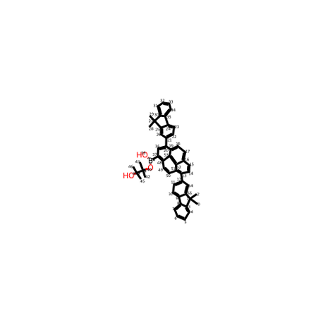 CC1(C)c2ccccc2-c2ccc(-c3ccc4ccc5c(-c6ccc7c(c6)C(C)(C)c6ccccc6-7)cc(B(O)OC(C)(C)C(C)(C)O)c6ccc3c4c65)cc21